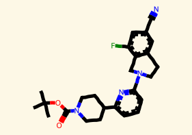 CC(C)(C)OC(=O)N1CCC(c2cccc(N3CCc4cc(C#N)cc(F)c4C3)n2)CC1